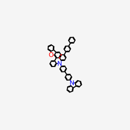 c1ccc(-c2ccc(-c3ccc(N(c4ccc(-c5ccc(-n6c7ccccc7c7ccccc76)cc5)cc4)c4ccccc4-c4cccc5c4oc4ccccc45)cc3)cc2)cc1